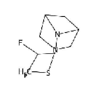 CSN1CC2CC(C1)N2CC(F)F